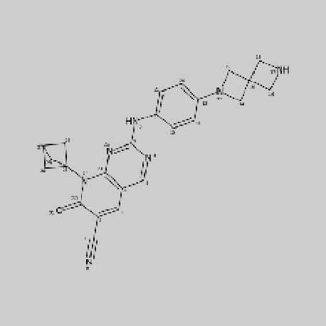 N#Cc1cc2cnc(Nc3ccc(N4CC5(CNC5)C4)cc3)nc2n(C23CC(C2)C3)c1=O